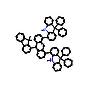 CN1c2ccccc2C(c2ccccc2)(c2ccccc2)c2cccc(-c3cccc4c(-c5cccc6c5C(C)(C)c5ccccc5-6)c5cccc(-c6cccc7c6N(C)c6ccccc6C7(c6ccccc6)c6ccccc6)c5cc34)c21